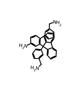 NCc1cccc(-c2ccc(N)cc2C2(c3cccc(CN)c3)c3ccccc3-c3ccccc32)c1